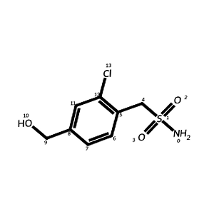 NS(=O)(=O)Cc1ccc(CO)cc1Cl